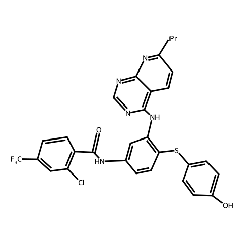 CC(C)c1ccc2c(Nc3cc(NC(=O)c4ccc(C(F)(F)F)cc4Cl)ccc3Sc3ccc(O)cc3)ncnc2n1